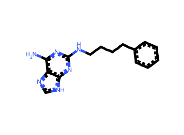 Nc1nc(NCCCCc2ccccc2)nc2[nH]cnc12